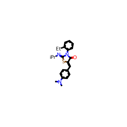 CCc1ccccc1N1C(=O)/C(=C/c2ccc(N(C)C)cc2)S/C1=N\C(C)C